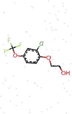 OCCOc1ccc(OC(F)(F)F)cc1Cl